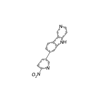 O=[N+]([O-])c1ccc(-c2ccc3c(c2)[nH]c2ccncc23)cn1